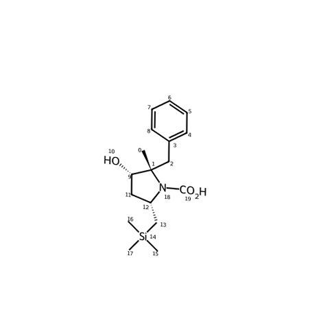 C[C@]1(Cc2ccccc2)[C@@H](O)C[C@@H](C[Si](C)(C)C)N1C(=O)O